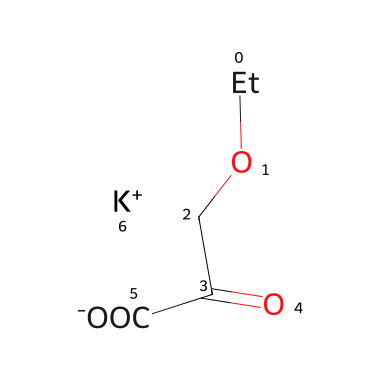 CCOCC(=O)C(=O)[O-].[K+]